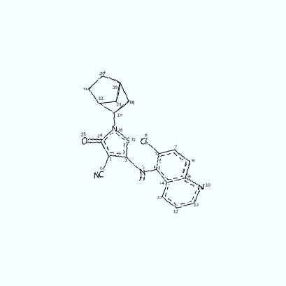 N#Cc1c(Nc2c(Cl)ccc3ncccc23)sn(C2CC3CCC2C3)c1=O